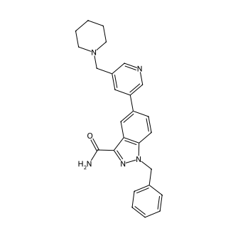 NC(=O)c1nn(Cc2ccccc2)c2ccc(-c3cncc(CN4CCCCC4)c3)cc12